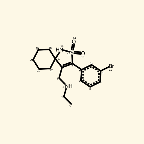 CCNCC1=C(c2cccc(Br)c2)S(=O)(=O)NC12CCCCC2